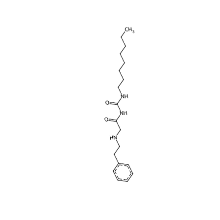 CCCCCCCCNC(=O)NC(=O)CNCCc1ccccc1